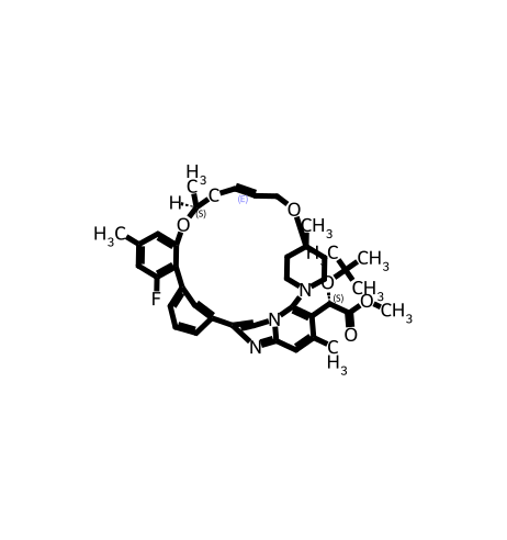 COC(=O)[C@@H](OC(C)(C)C)c1c(C)cc2nc3cn2c1N1CCC(C)(CC1)OC/C=C/C[C@H](C)Oc1cc(C)cc(F)c1-c1cccc-3c1